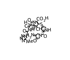 CO[C@H]1CN(C(=O)[C@@H]2C[C@H](SC3=C(C(=O)O)N4C(=O)[C@H]([C@@H](C)NC(=O)Cn5cnnn5)[C@H]4[C@H]3C)CN2)C[C@@H]1N